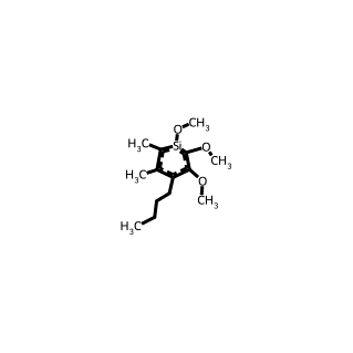 CCCCc1c(C)c(C)[si](OC)c(OC)c1OC